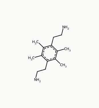 Cc1c(C)c(CCN)c(C)c(C)c1CCN